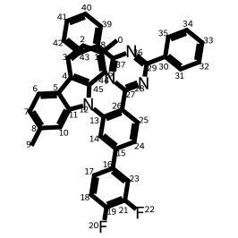 Cc1ccc2c3ccc(C)cc3n(-c3cc(-c4ccc(F)c(F)c4)ccc3-c3nc(-c4ccccc4)nc(-c4ccccc4)n3)c2c1